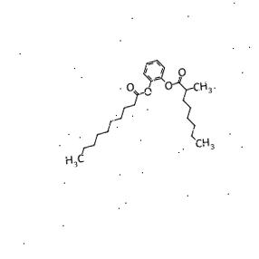 CCCCCCCCCC(=O)Oc1ccccc1OC(=O)C(C)CCCCCC